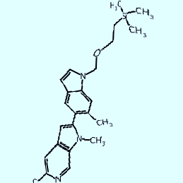 Cc1cc2c(ccn2COCC[Si](C)(C)C)cc1-c1cc2cc(Cl)ncc2n1C